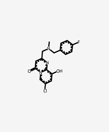 CN(Cc1ccc(F)cc1)Cc1cc(=O)n2cc(Cl)cc(O)c2n1